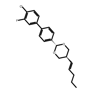 CCCC=C[C@H]1CO[C@H](c2ccc(-c3ccc(Cl)c(F)c3)cc2)OC1